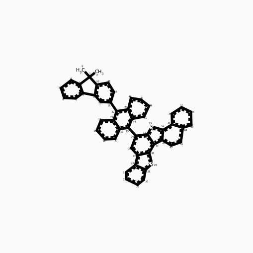 CC1(C)c2ccccc2-c2cc(-c3c4ccccc4c(-c4cc5c6ccccc6sc5c5c4sc4c6ccccc6ccc45)c4ccccc34)ccc21